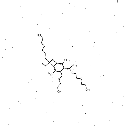 CC1=C2CC(C)(CCCSCCO)C2=C(C)C(CSCCO)/C1=C(/C)CCCSCCO